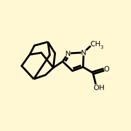 Cn1nc(C23CC4CC(CC(C4)C2)C3)cc1C(=O)O